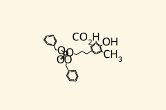 Cc1cc(CCCOP(=O)(OCc2ccccc2)OCc2ccccc2)cc(C(=O)O)c1O